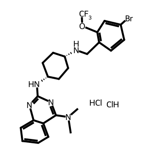 CN(C)c1nc(N[C@H]2CC[C@@H](NCc3ccc(Br)cc3OC(F)(F)F)CC2)nc2ccccc12.Cl.Cl